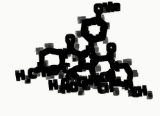 COc1ccc(-n2c(C(=O)N3CCN(C)CC3)c(C(C)(C)C(=O)O)c(C(C)(C)C(=O)O)c2C(=O)N2CCN(C)CC2)cc1